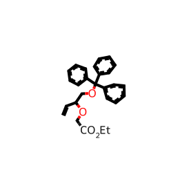 C=CC(COC(c1ccccc1)(c1ccccc1)c1ccccc1)OCC(=O)OCC